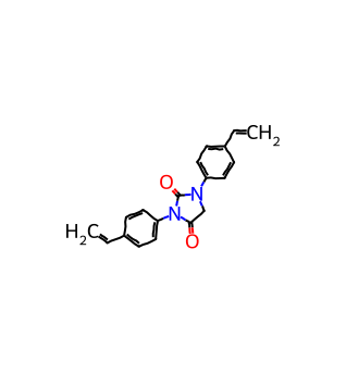 C=Cc1ccc(N2CC(=O)N(c3ccc(C=C)cc3)C2=O)cc1